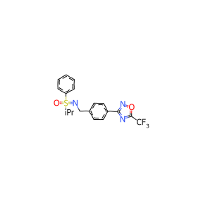 CC(C)S(=O)(=NCc1ccc(-c2noc(C(F)(F)F)n2)cc1)c1ccccc1